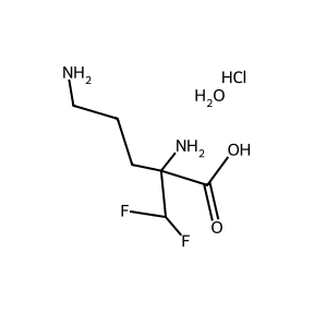 Cl.NCCCC(N)(C(=O)O)C(F)F.O